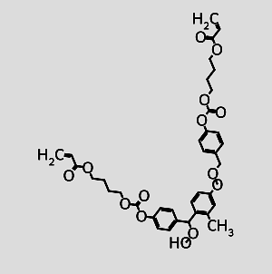 C=CC(=O)OCCCCOC(=O)Oc1ccc(COOc2ccc(C(OO)c3ccc(OC(=O)OCCCCOC(=O)C=C)cc3)c(C)c2)cc1